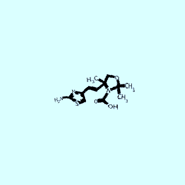 CC1(C=Cc2csc(N)n2)COC(C)(C)N1C(=O)O